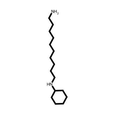 NCCCCCCCCCCNC1CCCCC1